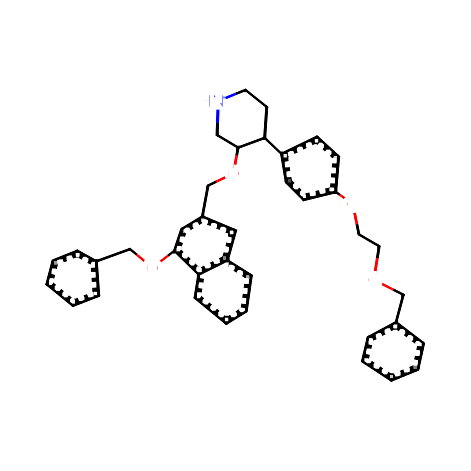 c1ccc(COCCOc2ccc(C3CCNCC3OCc3cc(OCc4ccccc4)c4ccccc4c3)cc2)cc1